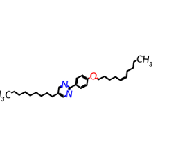 CCCC/C=C\CCCCOc1ccc(-c2ncc(CCCCCCCCC)cn2)cc1